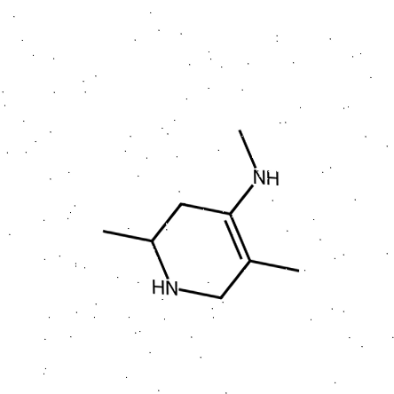 CNC1=C(C)CNC(C)C1